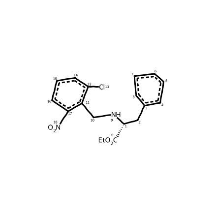 CCOC(=O)[C@@H](Cc1ccccc1)NCc1c(Cl)cccc1[N+](=O)[O-]